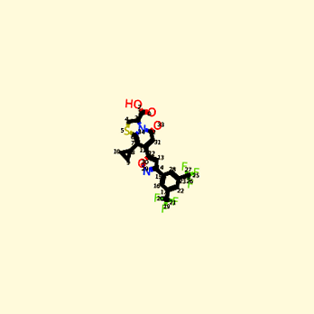 O=C(O)C1CSc2c(C3CC3)c(-c3cc(-c4cc(C(F)(F)F)cc(C(F)(F)F)c4)no3)cc(=O)n21